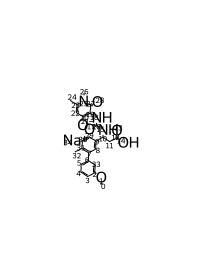 COc1cccc(-c2cc(C(CC(=O)O)NC(=O)Nc3c([O-])cc(C)n(C)c3=O)ccc2C)c1.[Na+]